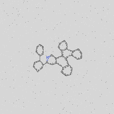 c1ccc(-c2ccccc2-c2cc3c4ccccc4c4c5ccccc5c5ccccc5c4c3cn2)cc1